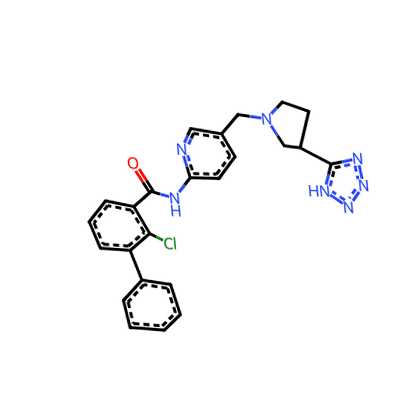 O=C(Nc1ccc(CN2CCC(c3nnn[nH]3)C2)cn1)c1cccc(-c2ccccc2)c1Cl